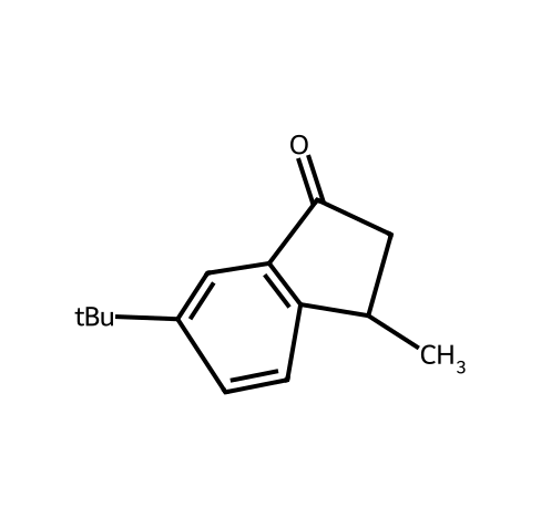 CC1CC(=O)c2cc(C(C)(C)C)ccc21